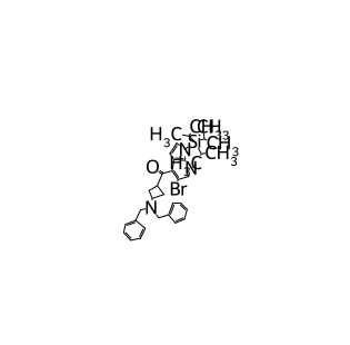 CC(C)[Si](C(C)C)(C(C)C)n1ccc2c(C(=O)C3CC(N(Cc4ccccc4)Cc4ccccc4)C3)c(Br)cnc21